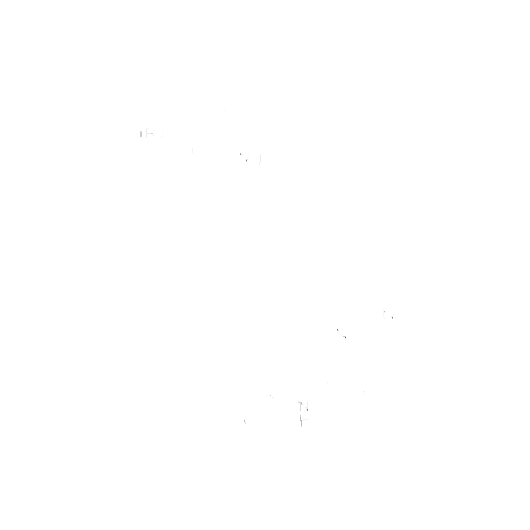 CC(C)(C)OC(=O)NCC#Cc1ccc2ncn(C3CCC(=O)NC3=O)c2c1